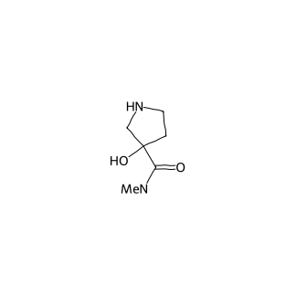 CNC(=O)C1(O)CCNC1